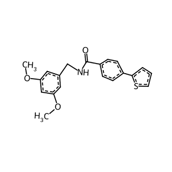 COc1cc(CNC(=O)c2ccc(-c3cccs3)cc2)cc(OC)c1